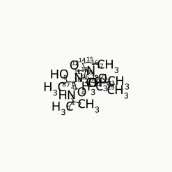 CC(C)NC(=O)C(C(C)O)N1C(=O)C2(CCC(C)N2C(=O)OC(C)(C)C)C1C